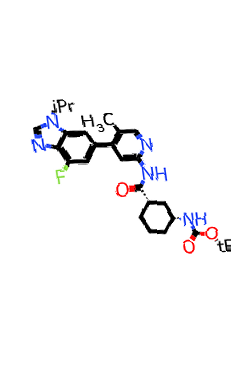 Cc1cnc(NC(=O)[C@H]2CCC[C@@H](NC(=O)OC(C)(C)C)C2)cc1-c1cc(F)c2ncn(C(C)C)c2c1